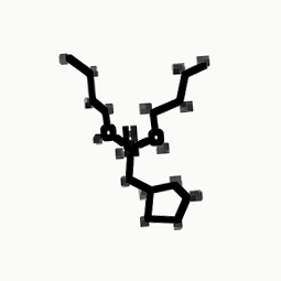 CCCCO[SiH](CC1CCCC1)OCCCC